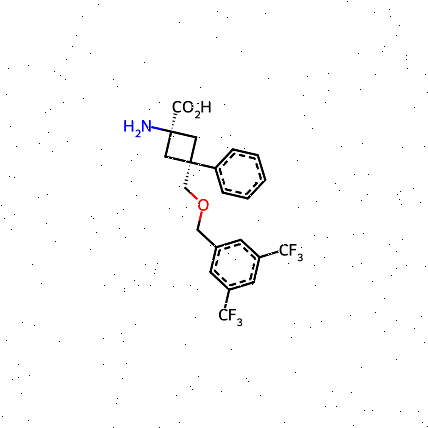 N[C@]1(C(=O)O)C[C@](COCc2cc(C(F)(F)F)cc(C(F)(F)F)c2)(c2ccccc2)C1